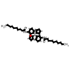 CCCCCCCCCC(=O)Nc1ccc(F)[c]([Ti]([c]2c(F)ccc(NC(=O)CCCCCCCCC)c2F)([CH]2C=CC=C2)[CH]2C=CC=C2)c1F